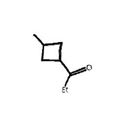 CCC(=O)C1CC(C)C1